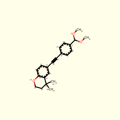 COC(OC)c1ccc(C#Cc2ccc3c(c2)C(C)(C)CCO3)cc1